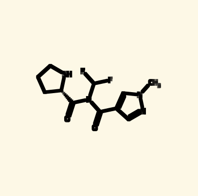 Cn1cc(C(=O)N(C(=O)[C@@H]2CCCN2)C(F)F)cn1